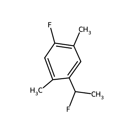 Cc1cc(C(C)F)c(C)cc1F